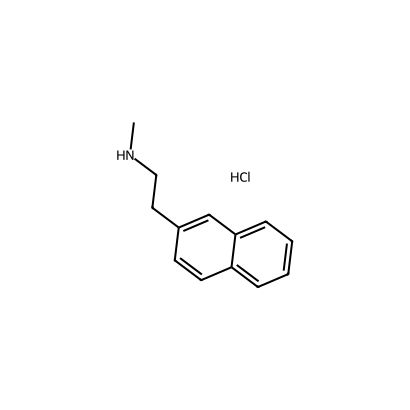 CNCCc1ccc2ccccc2c1.Cl